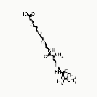 CC(C)(C)OC(=O)NCCCC[C@H](N)C(=O)NCCOCCOCCOCCC(=O)O